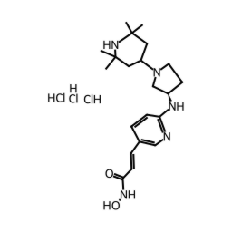 CC1(C)CC(N2CC[C@@H](Nc3ccc(/C=C/C(=O)NO)cn3)C2)CC(C)(C)N1.Cl.Cl.Cl